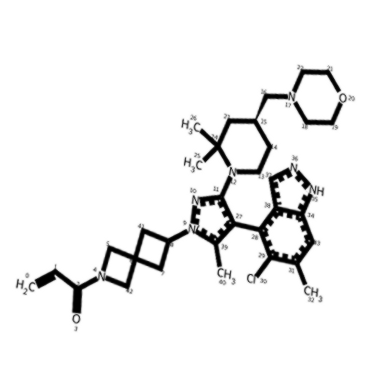 C=CC(=O)N1CC2(CC(n3nc(N4CC[C@H](CN5CCOCC5)CC4(C)C)c(-c4c(Cl)c(C)cc5[nH]ncc45)c3C)C2)C1